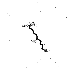 CC(C)(C)CCCCC(O)CCCCC(C)(C)C=O